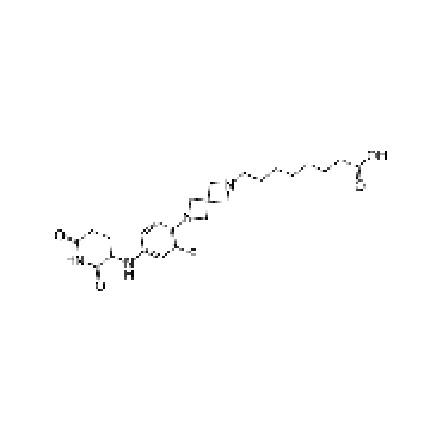 O=C(O)CCCCCCCN1CC2(C1)CN(c1ccc(NC3CCC(=O)NC3=O)cc1F)C2